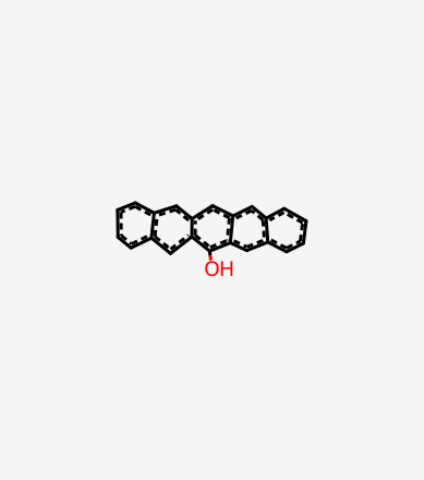 Oc1c2cc3ccccc3cc2cc2cc3ccccc3cc12